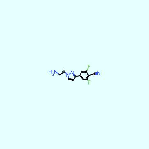 C[C@@H](CN)n1ccc(-c2cc(F)c(C#N)c(F)c2)n1